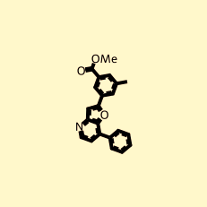 COC(=O)c1cc(C)cc(-c2cc3nccc(-c4ccccc4)c3o2)c1